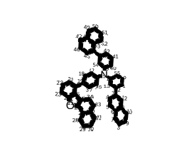 c1cc(-c2ccc3ccccc3c2)cc(N(c2ccc(-c3cccc4oc5c6ccccc6ccc5c34)cc2)c2cccc(-c3cccc4ccccc34)c2)c1